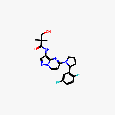 CC(C)(CO)C(=O)Nc1cnn2ccc(N3CCCC3c3cc(F)ccc3F)nc12